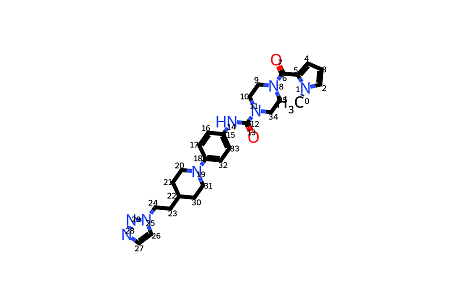 Cn1cccc1C(=O)N1CCN(C(=O)Nc2ccc(N3CCC(CCn4ccnn4)CC3)cc2)CC1